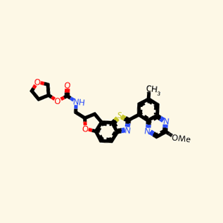 COc1cnc2c(-c3nc4ccc5c(c4s3)CC(CNC(=O)OC3CCOC3)O5)cc(C)cc2n1